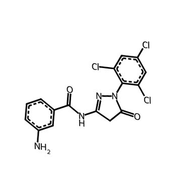 Nc1cccc(C(=O)NC2=NN(c3c(Cl)cc(Cl)cc3Cl)C(=O)C2)c1